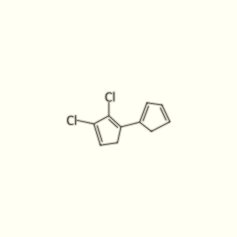 ClC1=CCC(C2=CC=CC2)=C1Cl